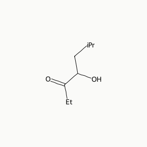 CCC(=O)C(O)CC(C)C